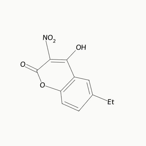 CCc1ccc2oc(=O)c([N+](=O)[O-])c(O)c2c1